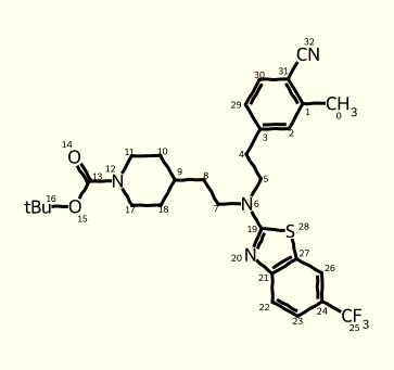 Cc1cc(CCN(CCC2CCN(C(=O)OC(C)(C)C)CC2)c2nc3ccc(C(F)(F)F)cc3s2)ccc1C#N